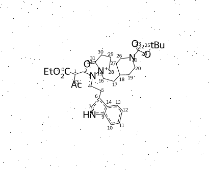 CCOC(=O)C(CN(CCc1c[nH]c2ccccc12)[N+]1(CCC2CCN(C(=O)OC(C)(C)C)CC2)CCCC1=O)C(C)=O